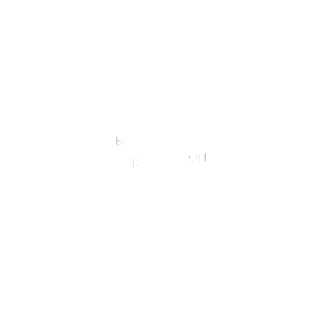 OC(Br)(c1ccccc1)c1ccccc1Br